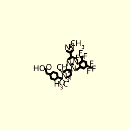 CC[C@@H]1C[C@H](N(Cc2cc(C(F)(F)F)cc(C(F)(F)F)c2)c2ncc(-c3cnn(C)c3)cn2)C[C@H](CC)N1C(=O)C1CCC(CC(=O)O)CC1